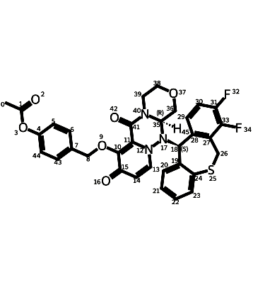 CC(=O)Oc1ccc(COc2c3n(ccc2=O)N([C@@H]2c4ccccc4SCc4c2ccc(F)c4F)[C@@H]2COCCN2C3=O)cc1